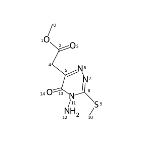 COC(=O)Cc1nnc(SC)n(N)c1=O